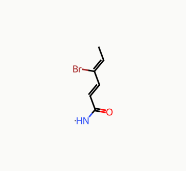 C/C=C(Br)/C=C/C([NH])=O